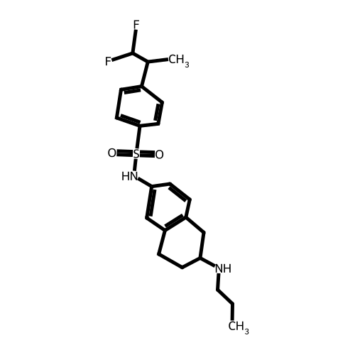 CCCNC1CCc2cc(NS(=O)(=O)c3ccc(C(C)C(F)F)cc3)ccc2C1